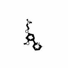 COc1cc(OCCN(C)C)ccc1-c1ccc[c]n1